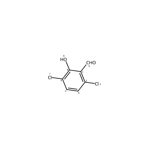 O=Cc1c(Cl)ccc(Cl)c1O